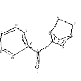 O=C(C1=C2CCC(=C1)C2)c1ccccc1